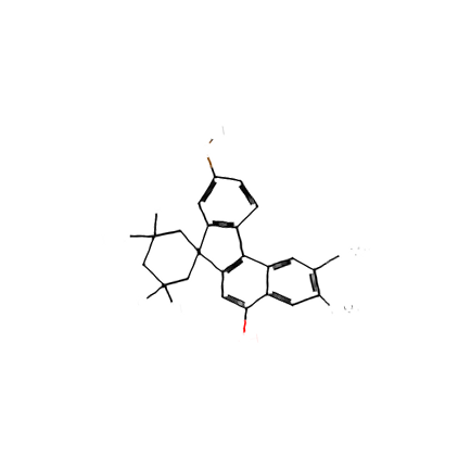 COc1cc2c(O)cc3c(c2cc1SC)-c1ccc(SC(F)(F)F)cc1C31CC(C)(C)CC(C)(C)C1